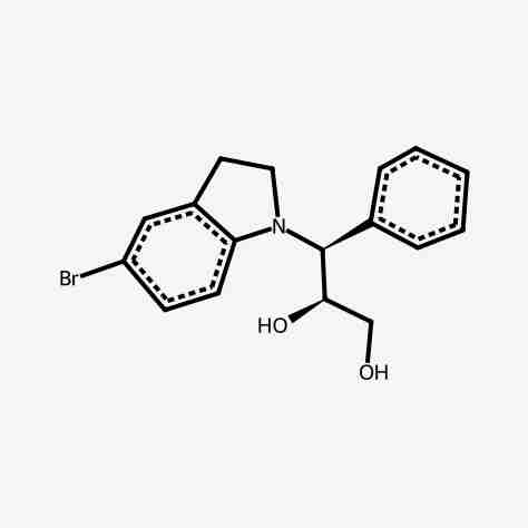 OC[C@@H](O)[C@H](c1ccccc1)N1CCc2cc(Br)ccc21